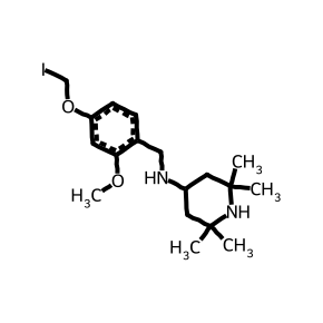 COc1cc(OCI)ccc1CNC1CC(C)(C)NC(C)(C)C1